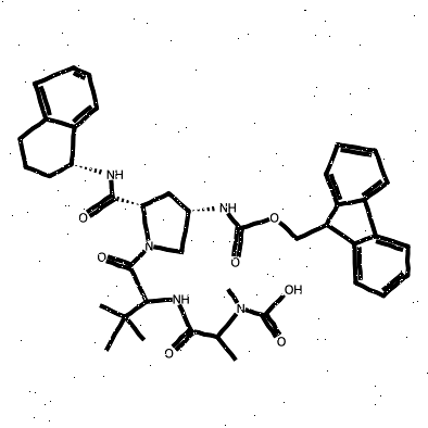 CC(C(=O)NC(C(=O)N1C[C@@H](NC(=O)OCC2c3ccccc3-c3ccccc32)C[C@H]1C(=O)N[C@@H]1CCCc2ccccc21)C(C)(C)C)N(C)C(=O)O